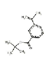 C=C(C)c1cccc(C(=O)OC(C)(C)C)c1